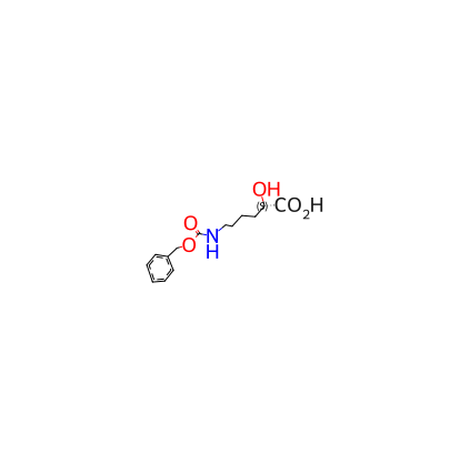 O=C(NCCCC[C@H](O)C(=O)O)OCc1ccccc1